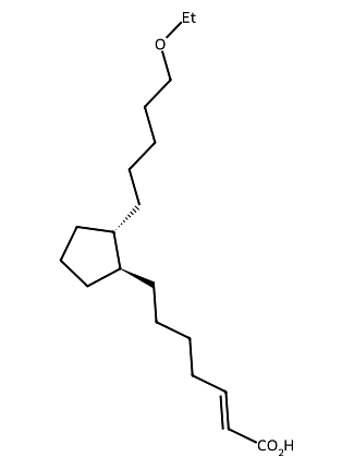 CCOCCCCC[C@H]1CCC[C@@H]1CCCCC=CC(=O)O